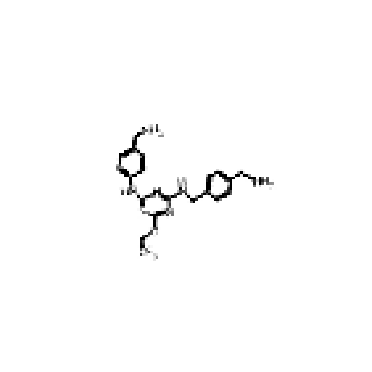 NCc1ccc(CNc2nc(Nc3ccc(CN)cc3)nc(OCC(F)(F)F)n2)cc1